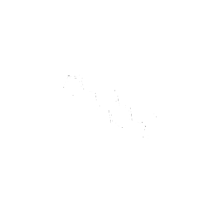 O=[N+]([O-])c1ccc(OCc2cccs2)c(Cl)c1